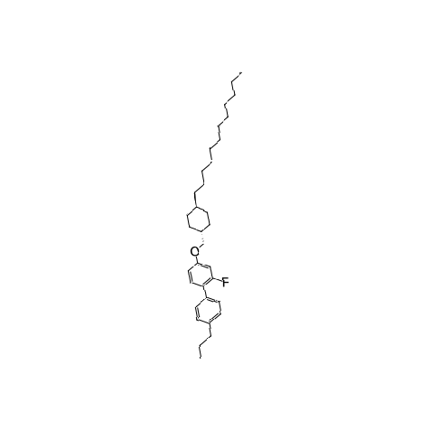 CCCCCCCCCCCC[C@H]1CC[C@H](COc2ccc(-c3ccc(CCC)cc3)c(F)c2)CC1